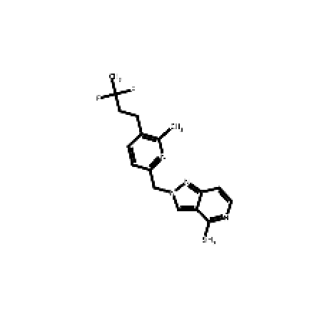 Cc1nc(Cn2cc3c([SiH3])nccc3n2)ccc1CCC(C)(F)F